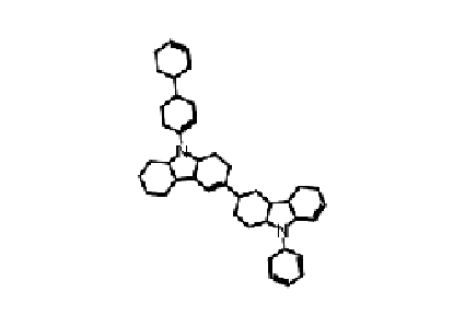 C1=CCC(N2C3C=CCCC3C3CC(C4=CC5C6CCCCC6N(C6=CCC(C7CC=CCC7)CC6)C5CC4)CCC32)C=C1